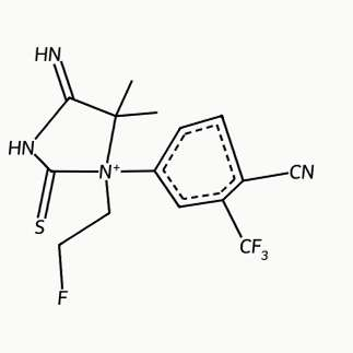 CC1(C)C(=N)NC(=S)[N+]1(CCF)c1ccc(C#N)c(C(F)(F)F)c1